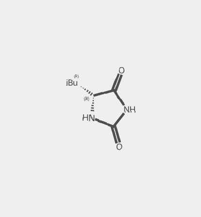 CC[C@@H](C)[C@H]1NC(=O)NC1=O